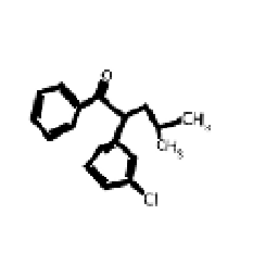 CC(C)CC(C(=O)c1ccccc1)c1cccc(Cl)c1